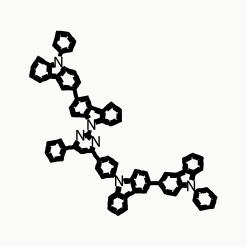 c1ccc(-c2cc(-c3ccc(-n4c5ccccc5c5cc(-c6ccc7c(c6)c6ccccc6n7-c6ccccc6)ccc54)cc3)nc(-n3c4ccccc4c4cc(-c5ccc6c(c5)c5ccccc5n6-c5ccccc5)ccc43)n2)cc1